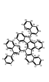 c1ccc(-c2nc(-n3c4ccc5ccccc5c4c4c5cccnc5c5c(c6ccccc6n5-c5cccc6cccnc56)c43)nc3ccccc23)cc1